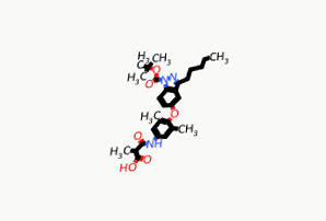 CCCCCc1nn(C(=O)OC(C)(C)C)c2ccc(Oc3c(C)cc(NC(=O)C(C)C(=O)O)cc3C)cc12